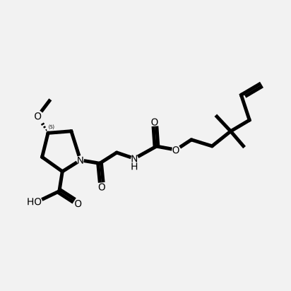 C=CCC(C)(C)CCOC(=O)NCC(=O)N1C[C@@H](OC)CC1C(=O)O